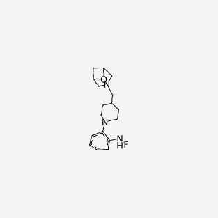 FNc1ccccc1N1CCC(CN2CC3CC(C2)O3)CC1